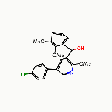 COc1cccc(C(O)c2cc(-c3ccc(Cl)cc3)cnc2OC)c1OC